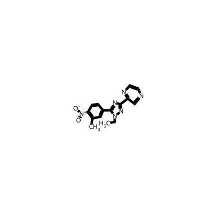 CCn1nc(-c2cnccn2)nc1-c1ccc([N+](=O)[O-])c(C)c1